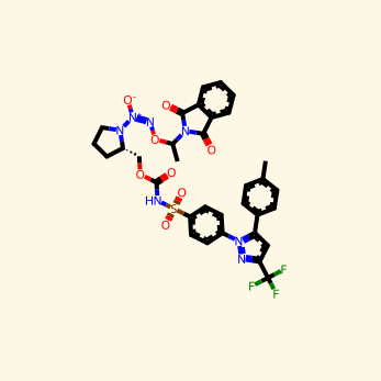 Cc1ccc(-c2cc(C(F)(F)F)nn2-c2ccc(S(=O)(=O)NC(=O)OC[C@@H]3CCCN3/[N+]([O-])=N\OC(C)N3C(=O)c4ccccc4C3=O)cc2)cc1